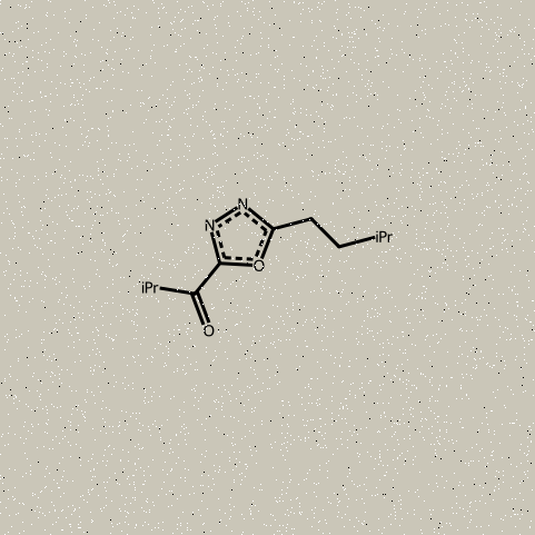 CC(C)CCc1nnc(C(=O)C(C)C)o1